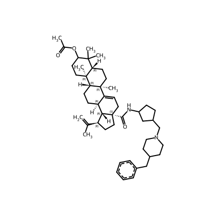 C=C(C)[C@@H]1CC[C@]2(C(=O)NC3CCC(CN4CCC(Cc5ccccc5)CC4)C3)CC=C3[C@H](CC[C@@H]4[C@@]5(C)CCC(OC(C)=O)C(C)(C)[C@@H]5CC[C@@]34C)[C@@H]12